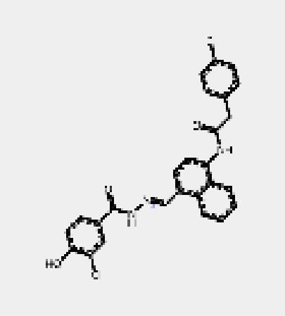 O=C(Cc1ccc(Cl)cc1)Nc1ccc(/C=N/NC(=O)c2ccc(O)c(Cl)c2)c2ccccc12